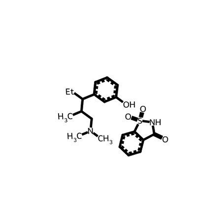 CCC(c1cccc(O)c1)C(C)CN(C)C.O=C1NS(=O)(=O)c2ccccc21